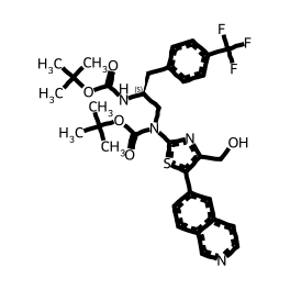 CC(C)(C)OC(=O)N[C@@H](Cc1ccc(C(F)(F)F)cc1)CN(C(=O)OC(C)(C)C)c1nc(CO)c(-c2ccc3cnccc3c2)s1